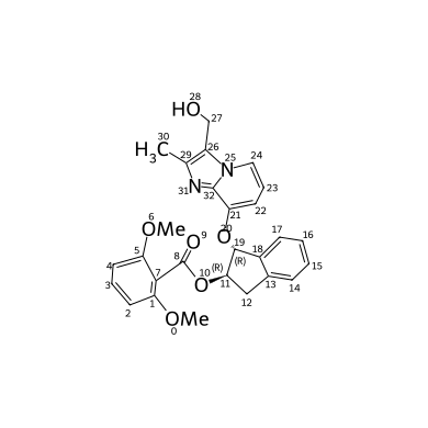 COc1cccc(OC)c1C(=O)O[C@@H]1Cc2ccccc2[C@H]1Oc1cccn2c(CO)c(C)nc12